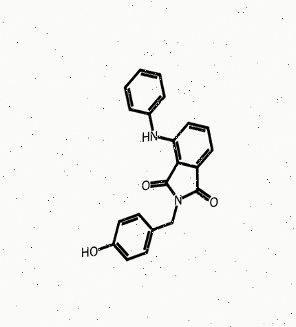 O=C1c2cccc(Nc3ccccc3)c2C(=O)N1Cc1ccc(O)cc1